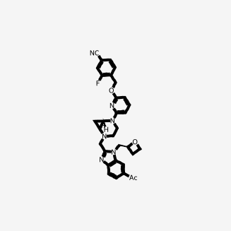 CC(=O)c1ccc2nc(CN3CCN(c4cccc(OCc5ccc(C#N)cc5F)n4)[C@H]4C[C@H]43)n(C[C@@H]3CCO3)c2c1